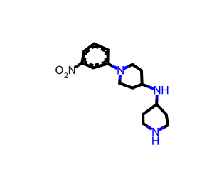 O=[N+]([O-])c1cccc(N2CCC(NC3CCNCC3)CC2)c1